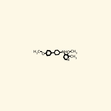 CCOc1ccc(C2CCC(Nc3ccnc(C)c3OC)CC2)cc1